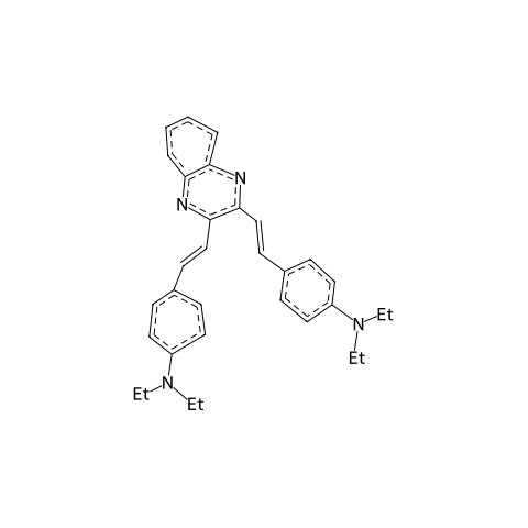 CCN(CC)c1ccc(C=Cc2nc3ccccc3nc2C=Cc2ccc(N(CC)CC)cc2)cc1